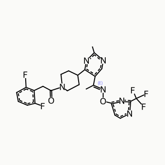 C/C(=N\Oc1ccnc(C(F)(F)F)n1)c1cnc(C)nc1C1CCN(C(=O)Cc2c(F)cccc2F)CC1